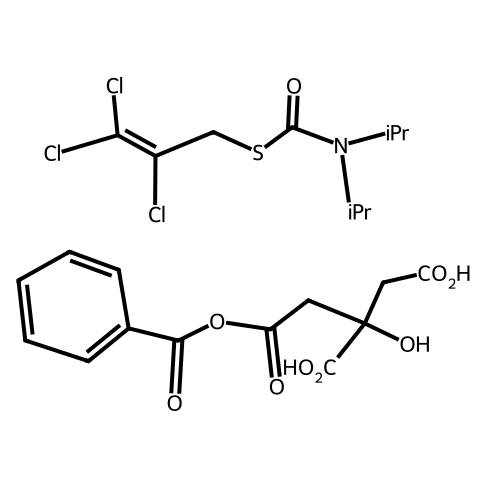 CC(C)N(C(=O)SCC(Cl)=C(Cl)Cl)C(C)C.O=C(O)CC(O)(CC(=O)OC(=O)c1ccccc1)C(=O)O